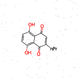 CCCC1=CC(=O)c2c(O)ccc(O)c2C1=O